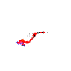 COP(OCC1OC(n2cnc3c(=S)[nH]c(N)nc32)C(O)C1O)OC1C(COP(=O)(O)O[C@H](CO)COCCOCCOCCOc2c(C)c(C)c3c(c2C)CC[C@@](C)(CCCCCCCCCCCC(C)C)O3)OC(N2CNc3c2nc(N)[nH]c3=S)C1O